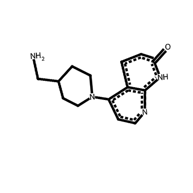 NCC1CCN(c2ccnc3[nH]c(=O)ccc23)CC1